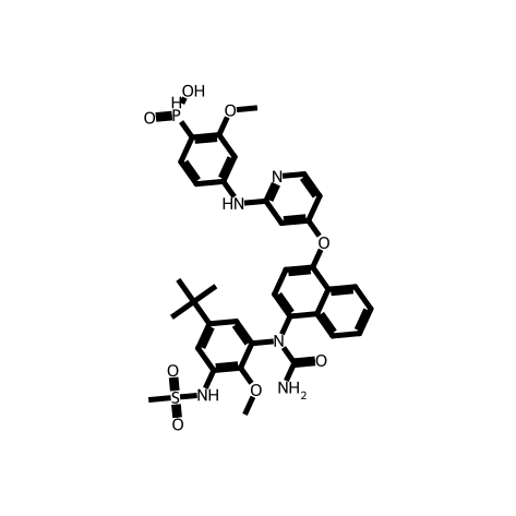 COc1cc(Nc2cc(Oc3ccc(N(C(N)=O)c4cc(C(C)(C)C)cc(NS(C)(=O)=O)c4OC)c4ccccc34)ccn2)ccc1[PH](=O)O